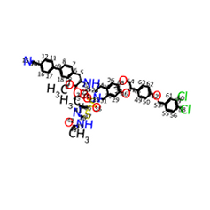 COC(=O)[C@@H](Cc1ccc(-c2ccc(C#N)cc2)cc1)NC(=O)[C@@H]1Cc2cc3c(cc2CN1S(=O)(=O)c1sc(NC(C)=O)nc1C)OC(c1ccc(OCc2ccc(Cl)c(Cl)c2)cc1)CO3